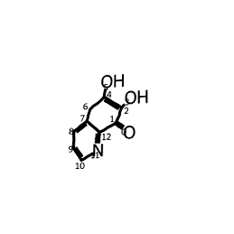 O=C1C(O)=C(O)Cc2cccnc21